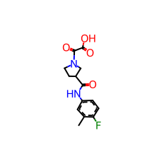 Cc1cc(NC(=O)C2CCN(C(=O)C(=O)O)C2)ccc1F